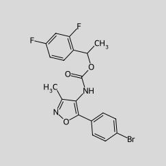 Cc1noc(-c2ccc(Br)cc2)c1NC(=O)OC(C)c1ccc(F)cc1F